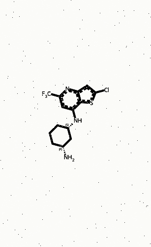 N[C@@H]1CCC[C@H](Nc2cc(C(F)(F)F)nc3cc(Cl)sc23)C1